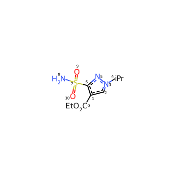 CCOC(=O)c1cn(C(C)C)nc1S(N)(=O)=O